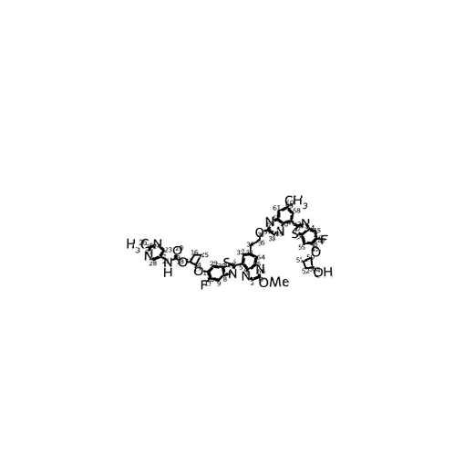 COc1cnc2c(-c3nc4cc(F)c(O[C@@H]5CC[C@@H]5OC(=O)Nc5cnc(C)nc5)cc4s3)cc(CCOc3cnc4c(-c5nc6cc(F)c(O[C@H]7CC[C@H]7O)cc6s5)cc(C)cc4n3)cc2n1